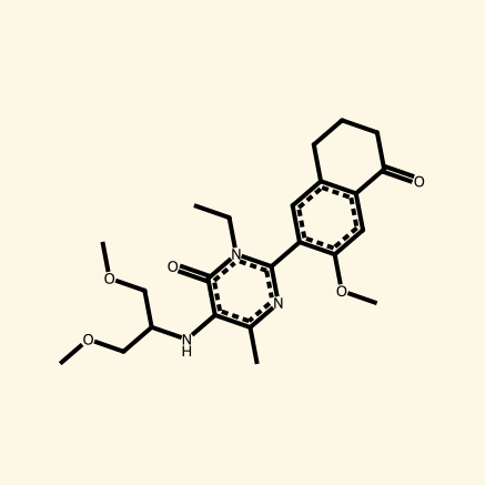 CCn1c(-c2cc3c(cc2OC)C(=O)CCC3)nc(C)c(NC(COC)COC)c1=O